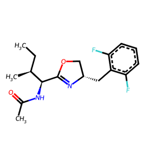 CC[C@H](C)[C@H](NC(C)=O)C1=N[C@@H](Cc2c(F)cccc2F)CO1